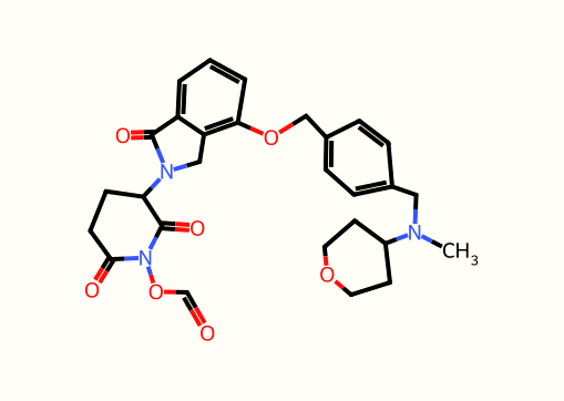 CN(Cc1ccc(COc2cccc3c2CN(C2CCC(=O)N(OC=O)C2=O)C3=O)cc1)C1CCOCC1